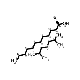 CC(C)[CH2][Al][CH2]C(C)C.CCCCCCCCCCCC(=O)O